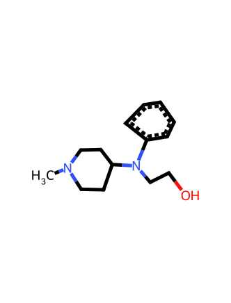 CN1CCC(N(CCO)c2ccccc2)CC1